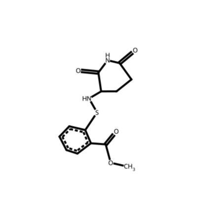 COC(=O)c1ccccc1SNC1CCC(=O)NC1=O